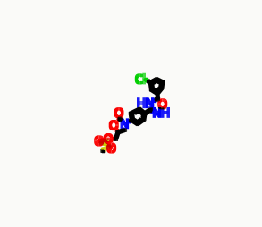 CS(=O)(=O)OCC1CN(c2ccc(C(=N)NC(=O)c3cccc(Cl)c3)cc2)C(=O)O1